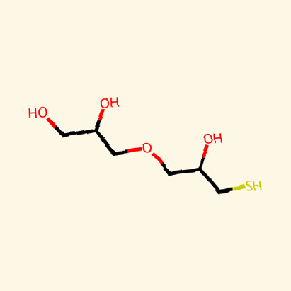 OCC(O)COCC(O)CS